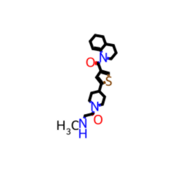 CNCC(=O)N1CCC(c2cc(C(=O)N3CCCC4CCCC=C43)cs2)CC1